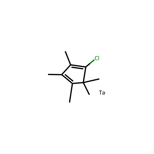 CC1=C(C)C(C)(C)C(Cl)=C1C.[Ta]